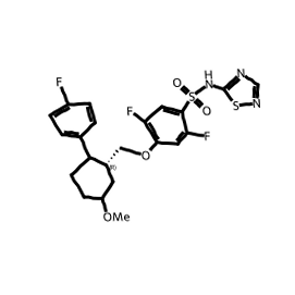 COC1CCC(c2ccc(F)cc2)[C@H](COc2cc(F)c(S(=O)(=O)Nc3ncns3)cc2F)C1